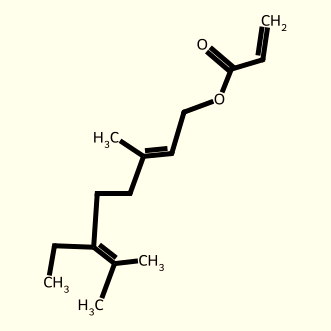 C=CC(=O)OC/C=C(\C)CCC(CC)=C(C)C